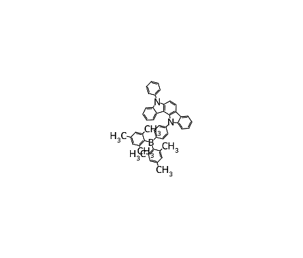 Cc1cc(C)c(B(c2ccc(-n3c4ccccc4c4ccc5c(c6ccccc6n5-c5ccccc5)c43)cc2)c2c(C)cc(C)cc2C)c(C)c1